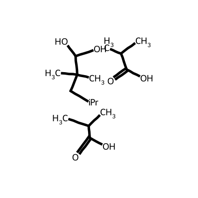 CC(C)C(=O)O.CC(C)C(=O)O.CC(C)CC(C)(C)C(O)O